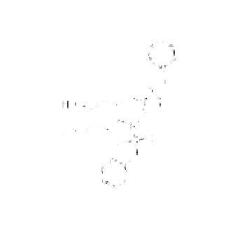 CCCCCN(SN(CCCCC)S(=O)(=O)Cc1ccccc1)S(=O)(=O)Cc1ccccc1